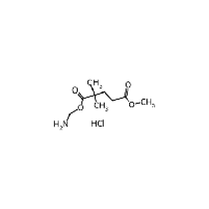 COC(=O)CCC(C)(C)C(=O)OCN.Cl